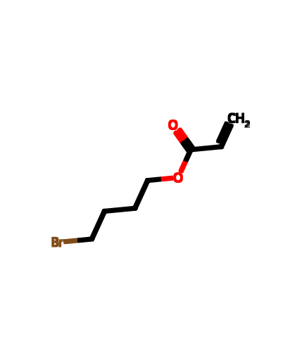 C=CC(=O)OCCCCBr